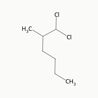 CCCCC(C)C(Cl)Cl